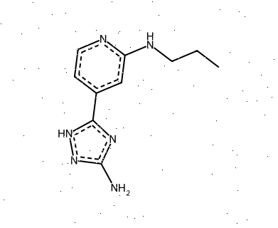 CCCNc1cc(-c2nc(N)n[nH]2)ccn1